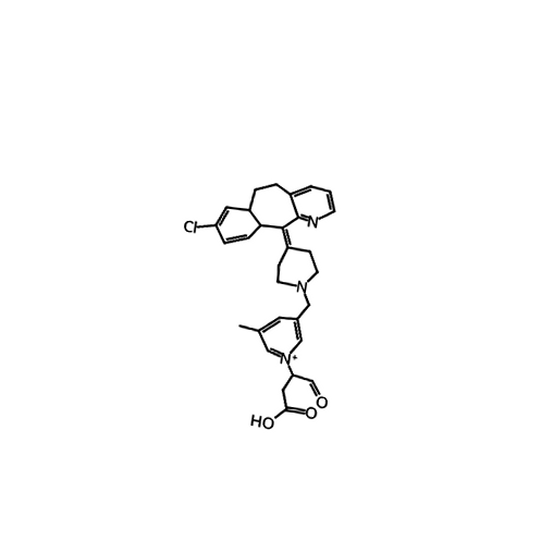 Cc1cc(CN2CCC(=C3c4ncccc4CCC4C=C(Cl)C=CC34)CC2)c[n+](C(C=O)CC(=O)O)c1